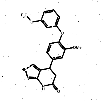 COc1cc(C2CC(=O)Nc3n[nH]cc32)ccc1Oc1cccc(OC(F)(F)F)c1